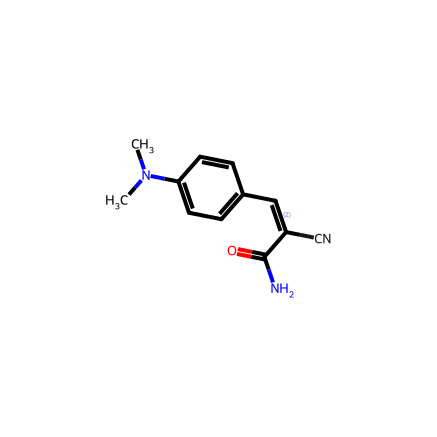 CN(C)c1ccc(/C=C(/C#N)C(N)=O)cc1